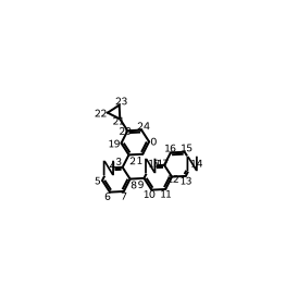 c1cc(-c2ncccc2-c2ccc3cnccc3n2)cc(C2CC2)c1